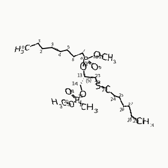 CCCCCCCCP(=O)(OC)O[C@@H](COP(C)(=O)OC)CSCCCCCCC